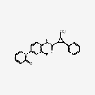 O=C(O)C1C(C(=O)Nc2ccc(-n3ccccc3=O)cc2F)C1c1ccccc1